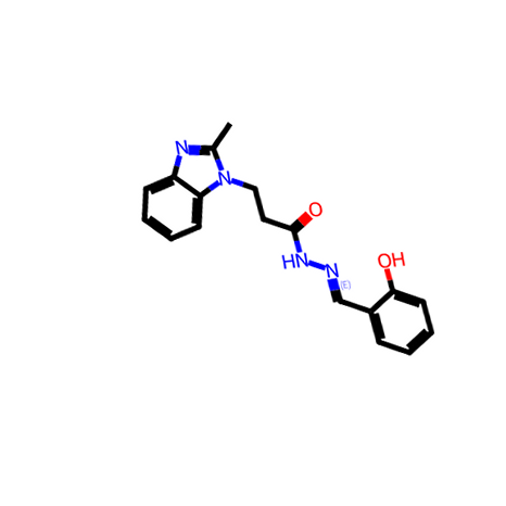 Cc1nc2ccccc2n1CCC(=O)N/N=C/c1ccccc1O